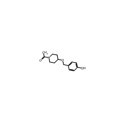 CC(=O)N1CCC(OCc2ccc(O)cc2)CC1